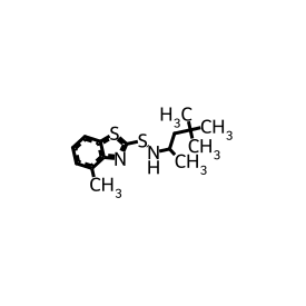 Cc1cccc2sc(SNC(C)CC(C)(C)C)nc12